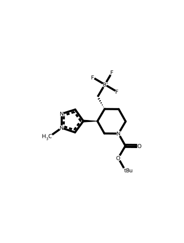 Cn1cc([C@@H]2CN(C(=O)OC(C)(C)C)CC[C@H]2C[B-](F)(F)F)cn1